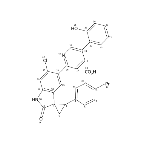 CC(C)c1ccc(C2CC23C(=O)Nc2cc(Cl)c(-c4ccc(-c5ccccc5O)cn4)cc23)cc1C(=O)O